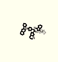 CC1(C)c2ccccc2-c2nc(-c3ccc(-n4c5ccccc5c5cc6ccccc6cc54)cc3)c(-c3ccc4cccnc4c3)nc21